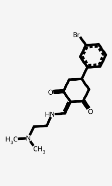 CN(C)CCNC=C1C(=O)CC(c2cccc(Br)c2)CC1=O